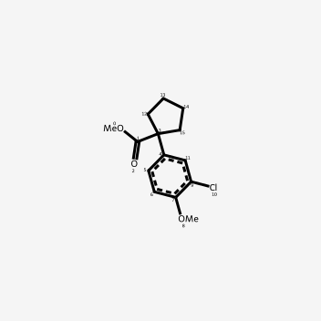 COC(=O)C1(c2ccc(OC)c(Cl)c2)CCCC1